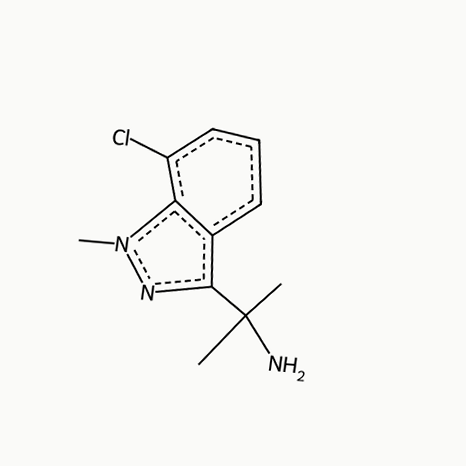 Cn1nc(C(C)(C)N)c2cccc(Cl)c21